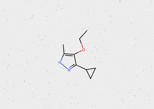 CCOC1=C(C)[N]N=C1C1CC1